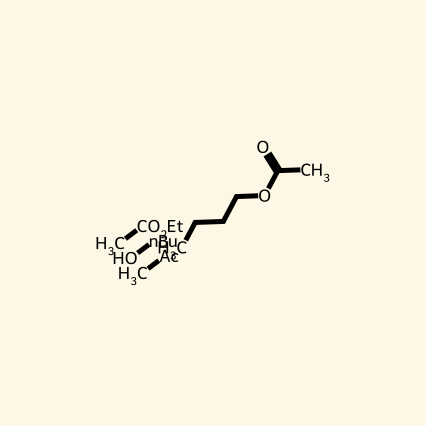 CC(C)=O.CCCCO.CCCCOC(C)=O.CCOC(C)=O